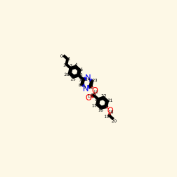 CCCc1ccc(-c2cnc(OC(=O)c3ccc(OCC)cc3)cn2)cc1